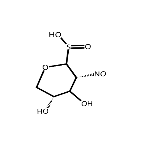 O=N[C@@H]1C(O)[C@H](O)COC1S(=O)O